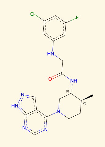 C[C@H]1CCN(c2ncnc3[nH]ncc23)C[C@@H]1NC(=O)CNc1cc(F)cc(Cl)c1